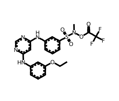 CCOc1cccc(Nc2cc(Nc3cccc(S(=O)(=O)N(C)OC(=O)C(F)(F)F)c3)ncn2)c1